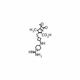 CC1C(SC2CC(NC3CCN(C(=N)N)CC3)C2)=C(C(=O)O)N2C(=O)C3(CO3)C12